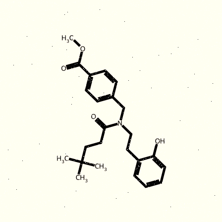 COC(=O)c1ccc(CN(CCc2ccccc2O)C(=O)CCC(C)(C)C)cc1